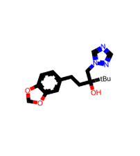 CC(C)(C)C(O)(CCc1ccc2c(c1)OCO2)Cn1cncn1